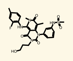 Cc1ccc(Nc2c3c(=O)n(CCCO)c(=O)n(-c4cccc(NS(C)(=O)=O)c4)c3c(C)c(=O)n2C)c(F)c1